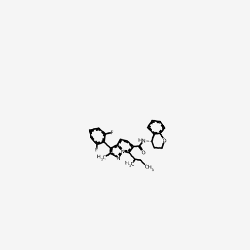 CCC(C)c1c(C(=O)N[C@H]2CCOc3ccccc32)ccc2c(-c3c(F)cccc3F)c(C)nn12